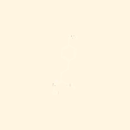 CSc1ccc(CC/C(C)=N/O)cc1